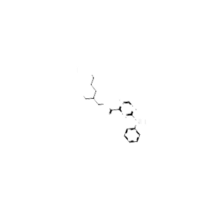 CCCCC(CC)COC(=O)c1ncnc(Nc2ccccc2)n1